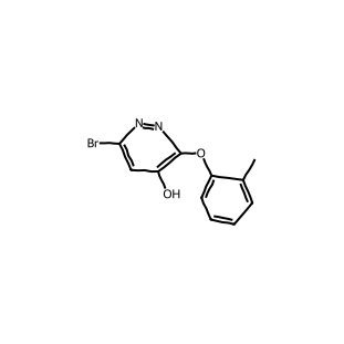 Cc1ccccc1Oc1nnc(Br)cc1O